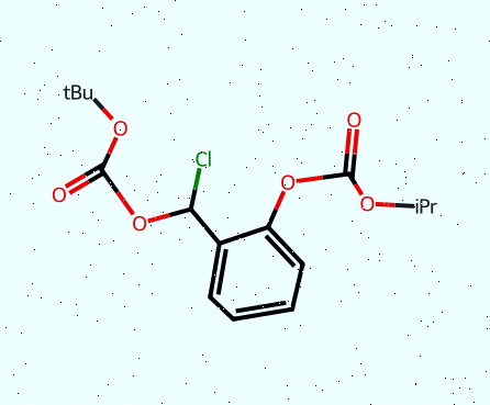 CC(C)OC(=O)Oc1ccccc1C(Cl)OC(=O)OC(C)(C)C